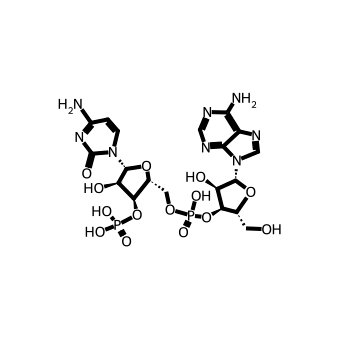 Nc1ccn([C@@H]2O[C@H](COP(=O)(O)O[C@H]3[C@@H](O)[C@H](n4cnc5c(N)ncnc54)O[C@@H]3CO)[C@@H](OP(=O)(O)O)[C@H]2O)c(=O)n1